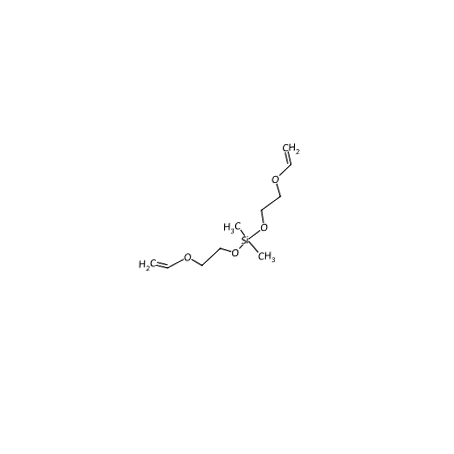 C=COCCO[Si](C)(C)OCCOC=C